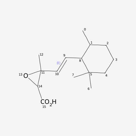 CC1CCCC(C)(C)C1/C=C/C1(C)OC1C(=O)O